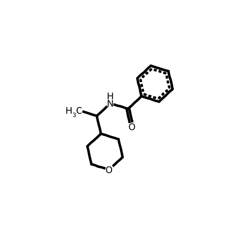 CC(NC(=O)c1ccccc1)C1CCOCC1